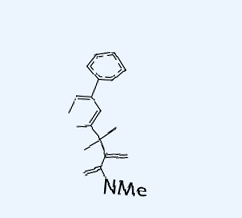 C=C(NC)C(=C)C(C)(C)/C(C)=C/C(=C\C)c1ccccc1